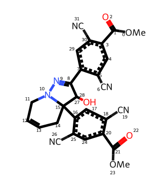 COC(=O)c1cc(C#N)c(C2=NN3CC=CCC3(c3cc(C#N)c(C(=O)OC)cc3C#N)C2O)cc1C#N